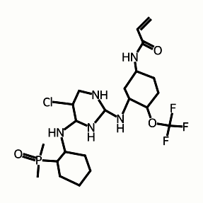 C=CC(=O)NC1CCC(OC(F)(F)F)C(NC2NCC(Cl)C(NC3CCCCC3P(C)(C)=O)N2)C1